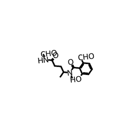 CC(CCC(=O)NC=O)N(C)C(=O)c1c(O)cccc1C=O